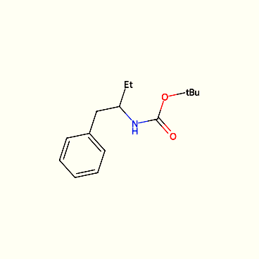 CCC(Cc1ccccc1)NC(=O)OC(C)(C)C